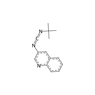 CC(C)(C)N=C=Nc1cnc2ccccc2c1